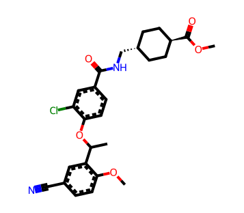 COc1ccc(C#N)cc1C(C)Oc1ccc(C(=O)NC[C@H]2CC[C@H](C(=O)OC)CC2)cc1Cl